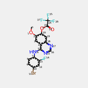 COc1cc2c(Nc3ccc(Br)cc3F)ncnc2cc1OC(=O)C(F)(F)F